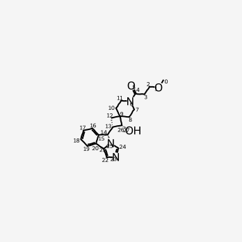 COCCC(=O)N1CCC2(CC1)C[C@@H]([C@H]1c3ccccc3-c3cncn31)[C@H]2O